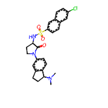 CN(C)C1CCc2cc(N3CCC(NS(=O)(=O)c4ccc5cc(Cl)ccc5c4)C3=O)ccc21